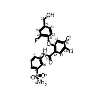 NS(=O)(=O)c1cccc(NC(=O)c2cc(Cl)c(Cl)cc2Oc2ccc(CO)cc2F)c1